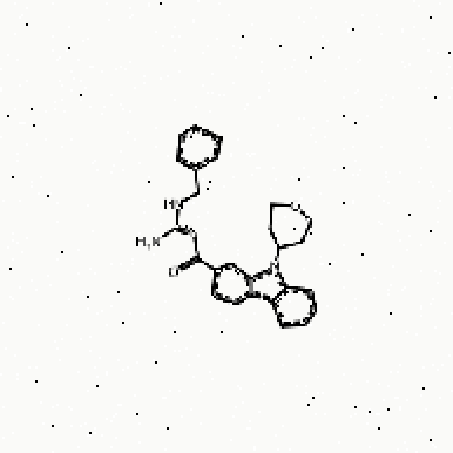 N/C(=N\C(=O)c1ccc2c3ccccc3n(C3CCOCC3)c2c1)NCc1ccccc1